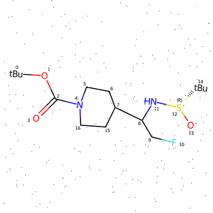 CC(C)(C)OC(=O)N1CCC(C(CF)N[S@@+]([O-])C(C)(C)C)CC1